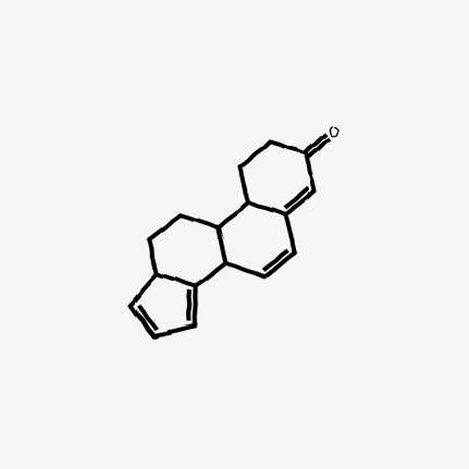 O=C1C=C2C=CC3C4=CC=CC4CCC3C2CC1